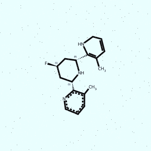 CC1=C([C@H]2C[C@H](F)C[C@@H](c3ncccc3C)N2)NCC=C1